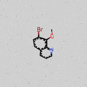 COc1c(Br)ccc2cccnc12